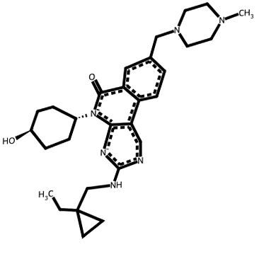 CCC1(CNc2ncc3c4ccc(CN5CCN(C)CC5)cc4c(=O)n([C@H]4CC[C@H](O)CC4)c3n2)CC1